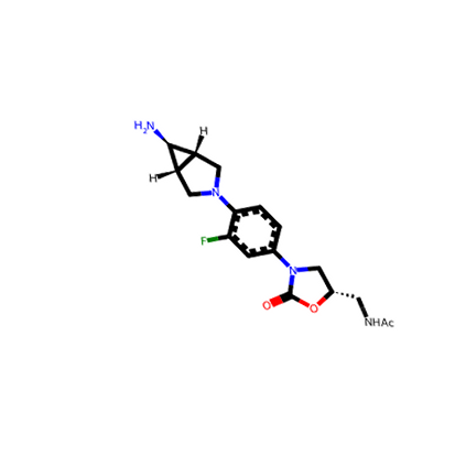 CC(=O)NC[C@H]1CN(c2ccc(N3C[C@@H]4[C@@H](N)[C@@H]4C3)c(F)c2)C(=O)O1